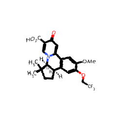 COc1cc2c(cc1OCC(F)(F)F)[C@H]1CCC(C)(C)[C@H]1n1cc(C(=O)O)c(=O)cc1-2